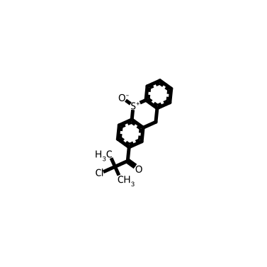 CC(C)(Cl)C(=O)c1ccc2c(c1)Cc1ccccc1[S+]2[O-]